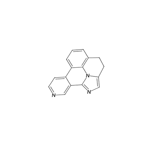 c1cc2c3c(c1)c1ccncc1c1ncc(n13)CC2